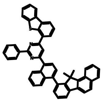 CC1(C)c2c(cccc2-c2ccc(-c3cc(-c4cccc5c4sc4ccccc45)nc(-c4ccccc4)n3)c3ccccc23)-c2ccc3ccccc3c21